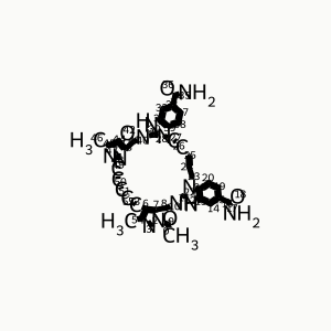 CCn1nc(C)c2c1C(=O)Nc1nc3cc(C(N)=O)ccc3n1C/C=C/CCn1c(nc3cc(C(N)=O)ccc31)NC(=O)c1cc(C)nn1CCCCC2